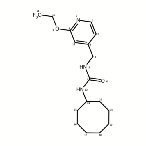 O=C(NCc1ccnc(OCC(F)(F)F)c1)NC1CCCCCCC1